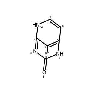 Cc1c2nc(=O)[nH]c1C=CN2